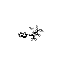 C[C@@H](O)[C@H]1C(=O)N2C(C(=O)[O-])=C(CSc3ccc4nnnn4n3)S[C@H]12.[Na+]